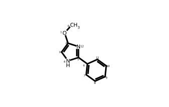 COc1c[nH]c(-c2ccccc2)n1